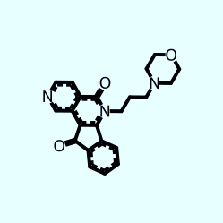 O=C1c2ccccc2-c2c1c1cnccc1c(=O)n2CCCN1CCOCC1